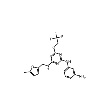 Cc1ccc(CNc2nc(Nc3cccc(N)c3)nc(OCC(F)(F)F)n2)o1